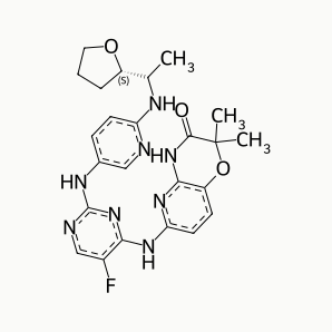 CC(Nc1ccc(Nc2ncc(F)c(Nc3ccc4c(n3)NC(=O)C(C)(C)O4)n2)cn1)[C@@H]1CCCO1